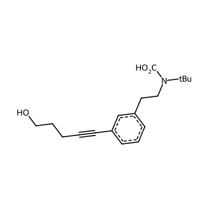 CC(C)(C)N(CCc1cccc(C#CCCCO)c1)C(=O)O